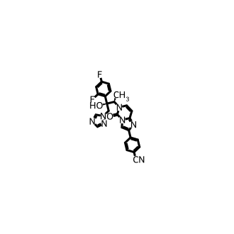 C[C@@H](n1ccc2nc(-c3ccc(C#N)cc3)cn2c1=O)[C@](O)(Cn1cncn1)c1ccc(F)cc1F